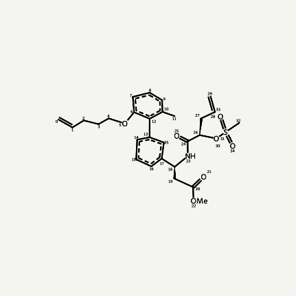 C=CCCCOc1cccc(C)c1-c1cccc([C@H](CC(=O)OC)NC(=O)[C@@H](CC=C)OS(C)(=O)=O)c1